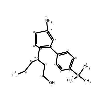 C[Si](C)(C)c1ccc(-c2cc(N)ccc2N(CCO)CCO)cc1